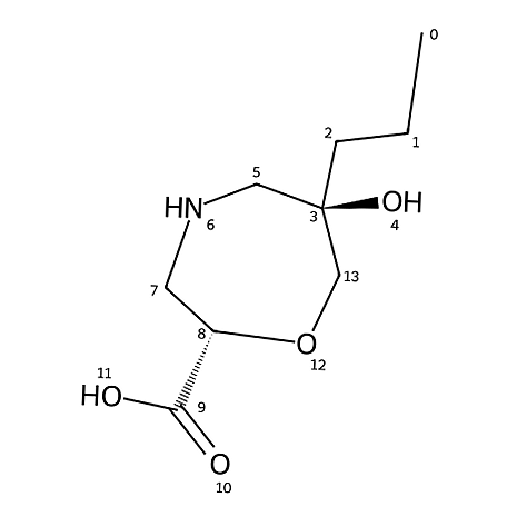 CCC[C@@]1(O)CNC[C@@H](C(=O)O)OC1